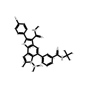 CNC(=O)c1c(-c2ccc(F)cc2)oc2c1cc(-c1cccc(C(=O)NC(C)(C)C)c1)c1c2cc(C)n1[S+](C)[O-]